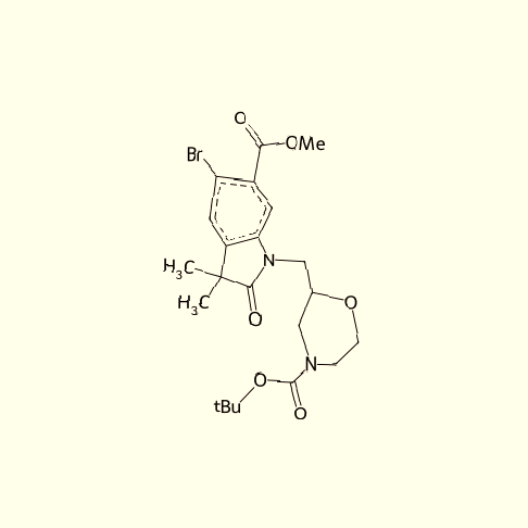 COC(=O)c1cc2c(cc1Br)C(C)(C)C(=O)N2CC1CN(C(=O)OC(C)(C)C)CCO1